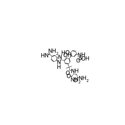 CC(C)(C(=O)N[C@@H](CC(N)=O)C(N)=O)c1cc(-c2nc3cc(C(=N)N)ccc3[nH]2)c(O)c(-c2cc(NS(=O)O)ccc2O)c1